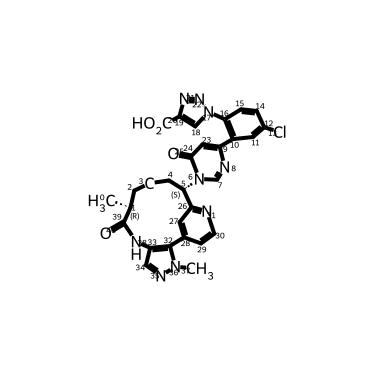 C[C@@H]1CCC[C@H](n2cnc(-c3cc(Cl)ccc3-n3cc(C(=O)O)nn3)cc2=O)c2cc(ccn2)-c2c(cnn2C)NC1=O